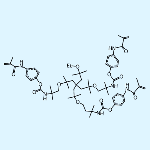 C=C(C)C(=O)Nc1ccc(OC(=O)NC(C)(C)CCOC(C)(C)CC(CC(C)(C)OCC)(CC(C)(C)OCC(C)(C)NC(=O)Oc2ccc(NC(=O)C(=C)C)cc2)CC(C)(C)OCC(C)(C)NC(=O)Oc2ccc(NC(=O)C(=C)C)cc2)cc1